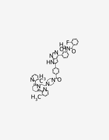 Cc1cccnc1[C@H]1CCC[C@@H](c2ncccc2C)N1CCN1CCN(C(=O)c2ccc(-c3cc4c(-c5cccc(NC(=O)c6ccccc6F)c5C)ncnc4[nH]3)cc2)CC1